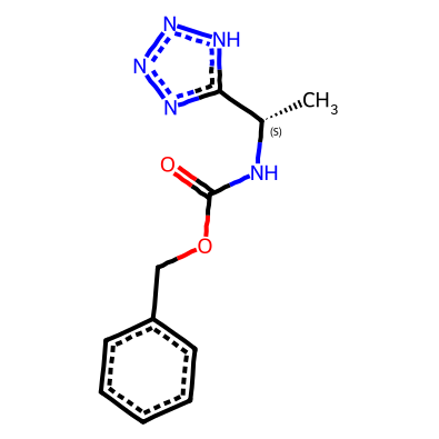 C[C@H](NC(=O)OCc1ccccc1)c1nnn[nH]1